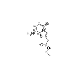 CCOC(=O)Cc1cn2c(Br)ccc(N)c2n1